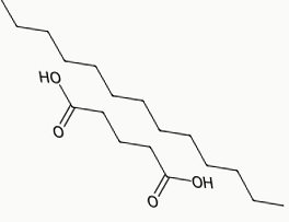 CCCCCCCCCCCCC.O=C(O)CCCC(=O)O